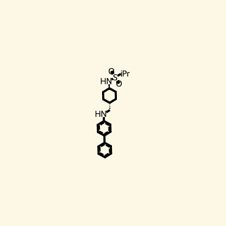 CC(C)S(=O)(=O)N[C@H]1CC[C@H](CNc2ccc(-c3ccccc3)cc2)CC1